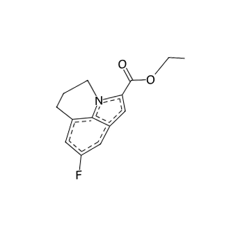 CCOC(=O)c1cc2cc(F)cc3c2n1CCC3